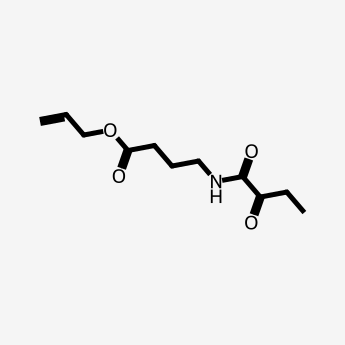 C=CCOC(=O)CCCNC(=O)C(=O)CC